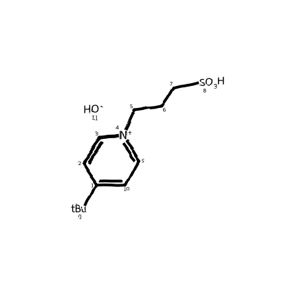 CC(C)(C)c1cc[n+](CCCS(=O)(=O)O)cc1.[OH-]